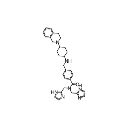 O=C(c1ccc(CNC2CCC(N3CCc4ccccc4C3)CC2)cc1)N(Cc1ncc[nH]1)Cc1ncc[nH]1